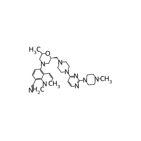 C=Nc1c(C#N)ccc(N2C[C@H](CN3CCN(c4ccnc(N5CCN(C)CC5)n4)CC3)O[C@H](C)C2)c1/C=C\C